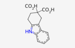 O=C(O)C1(C(=O)O)CCc2[nH]c3ccccc3c2C1